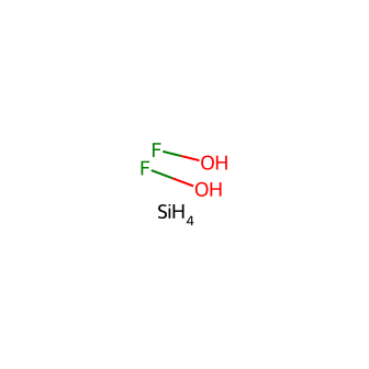 OF.OF.[SiH4]